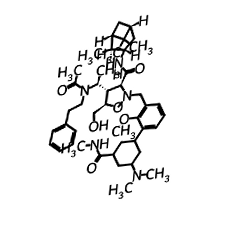 CNC(=O)C1CC(c2cccc(CN3O[C@@H](CO)[C@H]([C@H](C)N(CCc4ccccc4)C(C)=O)[C@H]3C(=O)N[C@H]3C[C@H]4C[C@@H]([C@@H]3C)C4(C)C)c2OC)CC(N(C)C)C1